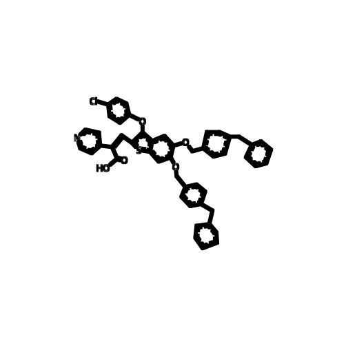 O=C(O)C(=Cc1sc2cc(OCc3ccc(Cc4ccccc4)cc3)c(OCc3ccc(Cc4ccccc4)cc3)cc2c1Oc1ccc(Cl)cc1)c1ccncc1